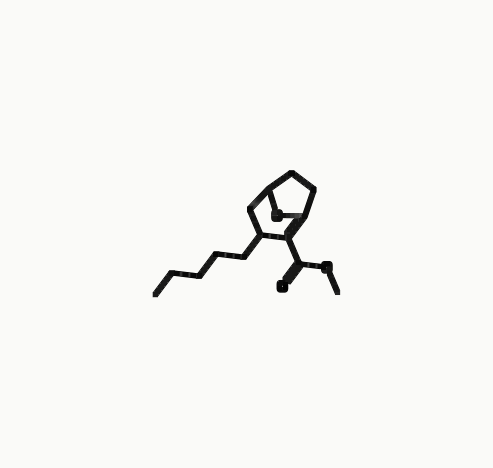 CCCCCC1CC2CCC(=C1C(=O)OC)O2